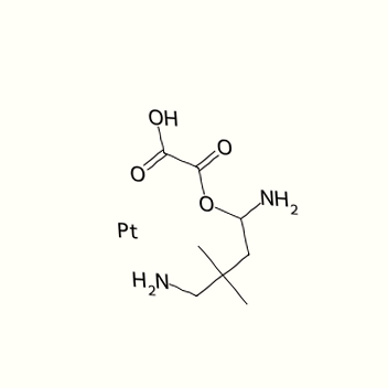 CC(C)(CN)CC(N)OC(=O)C(=O)O.[Pt]